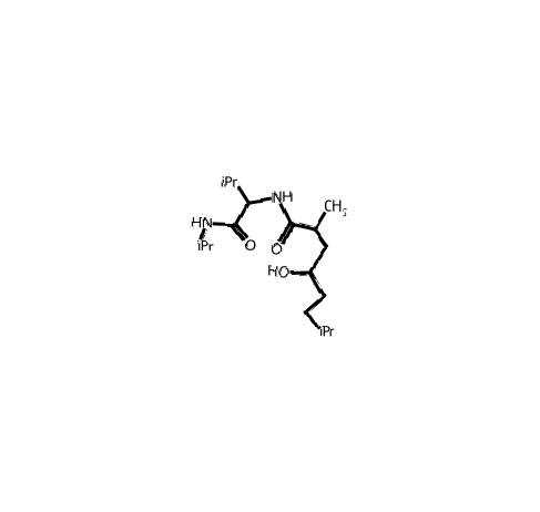 CC(C)CCC(O)CC(C)C(=O)NC(C(=O)NC(C)C)C(C)C